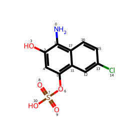 Nc1c(O)cc(OS(=O)(=O)O)c2cc(Cl)ccc12